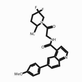 COc1ccc(-c2ccc3nccc(C(=O)NCC(=O)N4CC(F)(F)CCC4C#N)c3c2)cc1